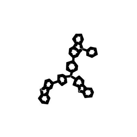 c1ccc(-n2c3ccccc3c3ccc(-c4ccc(N(c5ccc(-c6ccc7oc8ccccc8c7c6)cc5)c5ccc6c(c5)oc5ccccc56)cc4)cc32)cc1